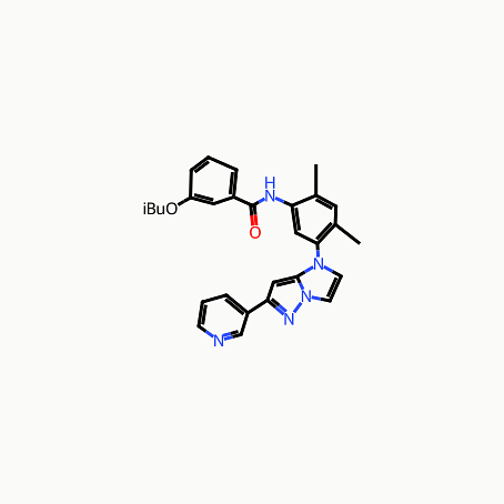 Cc1cc(C)c(-n2ccn3nc(-c4cccnc4)cc23)cc1NC(=O)c1cccc(OCC(C)C)c1